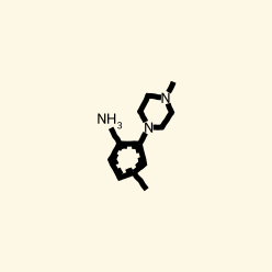 Cc1ccc(C)c(N2CCN(C)CC2)c1.N